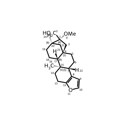 CO[C@]1(C(=O)O)C[C@@]23CC[C@@H]4c5ccoc5CC[C@@]4(C)[C@@H]2CC[C@@H]1C3